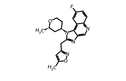 Cc1cc(Cc2nc3cnc4ccc(F)cc4c3n2[C@@H]2CCO[C@H](C)C2)no1